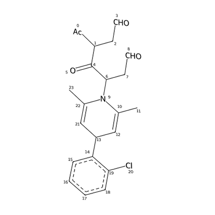 CC(=O)C(CC=O)C(=O)C(CC=O)N1C(C)=CC(c2ccccc2Cl)C=C1C